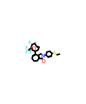 CCSC1C=CC(N2CC3=C(CCCC=C3C3/C=C\C(F)C/C(OCC(F)(F)F)=C/C3)C2=O)CC1